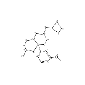 COc1cccc(C23CCN(CC4CCC4)CC2CCC(C)C3)c1